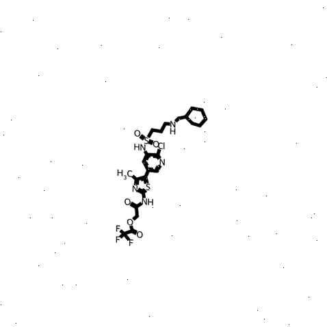 Cc1nc(NC(=O)COC(=O)C(F)(F)F)sc1-c1cnc(Cl)c(NS(=O)(=O)CCCNCC2CCCCC2)c1